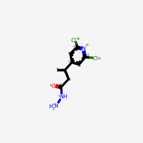 CC(CC(=O)NN)c1cc(Cl)nc(Cl)c1